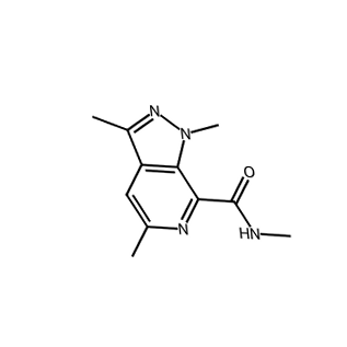 CNC(=O)c1nc(C)cc2c(C)nn(C)c12